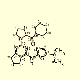 CC(C)c1cnc(Nc2nc(N3CCCC3C(=O)N3CCCCC3)nc3c2CCC3)s1